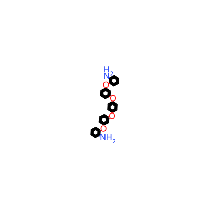 Nc1ccccc1Oc1cccc(Oc2ccc(Oc3cccc(Oc4ccccc4N)c3)cc2)c1